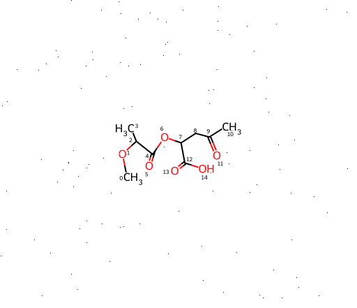 COC(C)C(=O)OC(CC(C)=O)C(=O)O